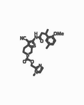 COc1ccc(C)cc1C(C)CC(=O)Nc1sc2c(c1C#N)CCN(C(=O)OCc1nccn1C)C2